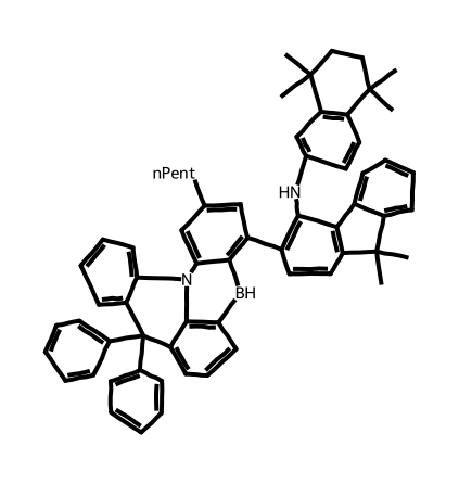 CCCCCc1cc(-c2ccc3c(c2Nc2ccc4c(c2)C(C)(C)CCC4(C)C)-c2ccccc2C3(C)C)c2c(c1)N1c3ccccc3C(c3ccccc3)(c3ccccc3)c3cccc(c31)B2